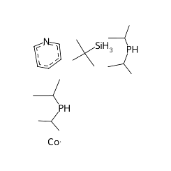 CC(C)(C)[SiH3].CC(C)PC(C)C.CC(C)PC(C)C.[Co].c1ccncc1